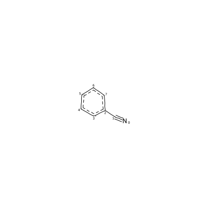 N#Cc1[c]c[c]cc1